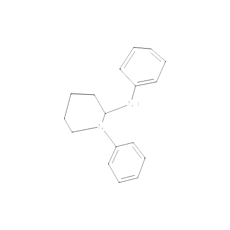 c1ccc(NC2CCCCN2c2ccccc2)cc1